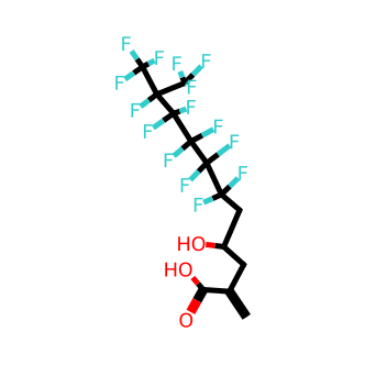 C=C(CC(O)CC(F)(F)C(F)(F)C(F)(F)C(F)(F)C(F)(C(F)(F)F)C(F)(F)F)C(=O)O